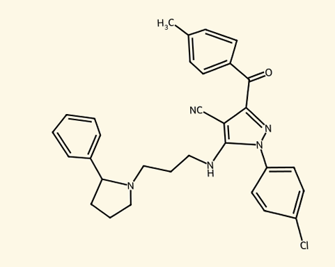 Cc1ccc(C(=O)c2nn(-c3ccc(Cl)cc3)c(NCCCN3CCCC3c3ccccc3)c2C#N)cc1